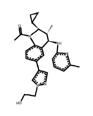 CC(=O)N1c2ccc(-c3cnn(CCO)c3)cc2[C@H](Nc2cccc(C)n2)[C@@H](C)[C@@H]1C1CC1